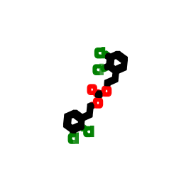 O=C(OCCc1cccc(Cl)c1Cl)OCCc1cccc(Cl)c1Cl